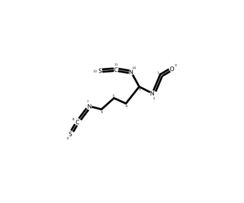 O=C=NC(CCCN=C=S)N=C=S